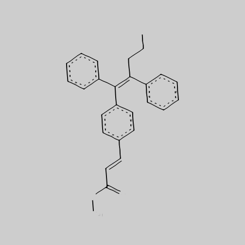 CC(C)(C)OC(=O)/C=C/c1ccc(/C(=C(/CCCl)c2ccccc2)c2ccccc2)cc1